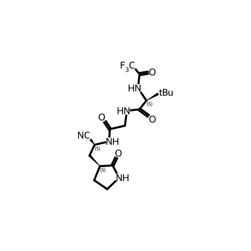 CC(C)(C)[C@H](NC(=O)C(F)(F)F)C(=O)NCC(=O)N[C@H](C#N)C[C@@H]1CCNC1=O